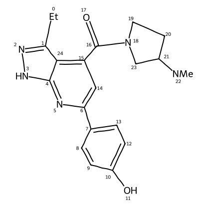 CCc1n[nH]c2nc(-c3ccc(O)cc3)cc(C(=O)N3CCC(NC)C3)c12